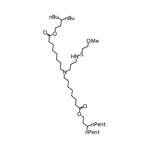 CCCCCC(CCCCC)CCOC(=O)CCCCCCCN(CCCCCCCC(=O)OCCC(CCCC)CCCC)CCCNSCCOC